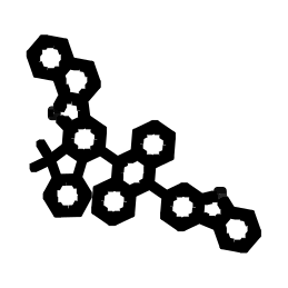 CC1(C)c2ccccc2-c2c(-c3c4ccccc4c(-c4ccc5c(c4)oc4ccccc45)c4ccccc34)cc3c(oc4c5ccccc5ccc34)c21